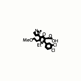 CCn1c(CCOC)c(-c2ccnn2C)c(=O)c(C2OC2O)c1-c1ccc(Cl)c(Cl)c1